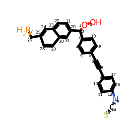 OOC(c1ccc(C#Cc2ccc(N=C=S)cc2)cc1)c1ccc2cc(CP)ccc2c1